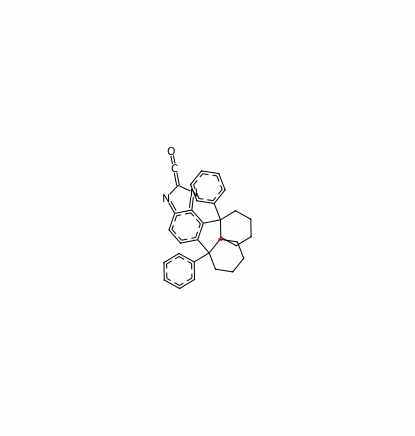 O=C=C1N=c2ccc(C3(c4ccccc4)CCCCC3)c(C3(c4ccccc4)CCCCC3)c2=N1